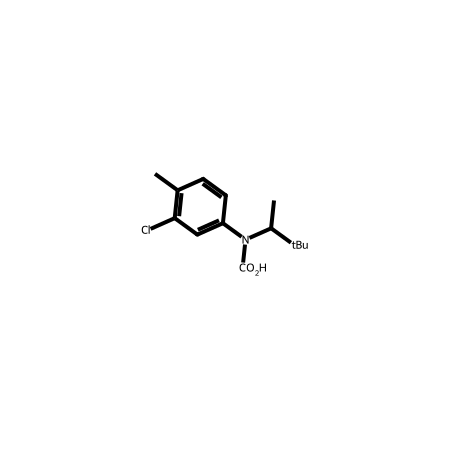 Cc1ccc(N(C(=O)O)C(C)C(C)(C)C)cc1Cl